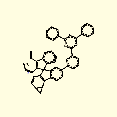 C=CC1=C(/C=C\N)C2(C3=C(c4ccc(-c5cccc(-c6cc(-c7ccccc7)nc(-c7ccccc7)n6)c5)cc42)C2CC2C=C3)c2c#cccc21